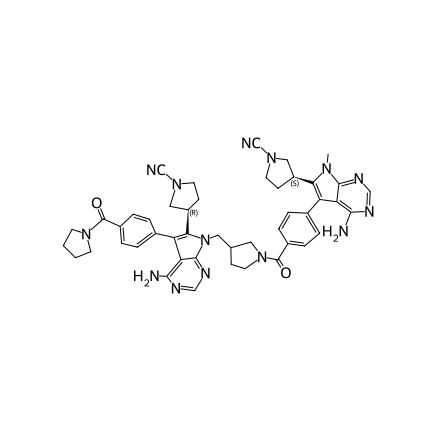 Cn1c([C@H]2CCN(C#N)C2)c(-c2ccc(C(=O)N3CCC(Cn4c([C@@H]5CCN(C#N)C5)c(-c5ccc(C(=O)N6CCCC6)cc5)c5c(N)ncnc54)C3)cc2)c2c(N)ncnc21